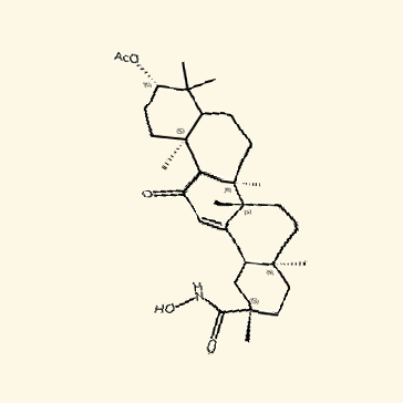 CC(=O)O[C@H]1CC[C@@]2(C)C(CC[C@]3(C)C2C(=O)C=C2C4C[C@@](C)(C(=O)NO)CC[C@]4(C)CC[C@]23C)C1(C)C